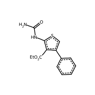 CCOC(=O)c1c(-c2ccccc2)csc1NC(N)=O